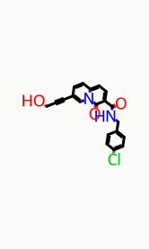 O=C(NCc1ccc(Cl)cc1)c1ccc2ccc(C#CCO)cn2c1=O